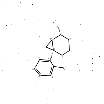 C[C@@H]1CCC[C@@]2(c3ccccc3Cl)CC12